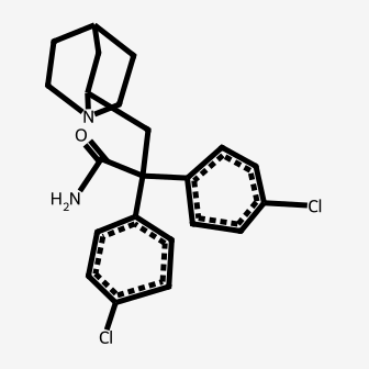 NC(=O)C(CC1CC2CCN1CC2)(c1ccc(Cl)cc1)c1ccc(Cl)cc1